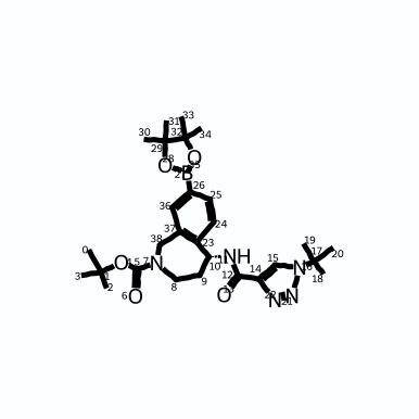 CC(C)(C)OC(=O)N1CC[C@@H](NC(=O)c2cn(C(C)(C)C)nn2)c2ccc(B3OC(C)(C)C(C)(C)O3)cc2C1